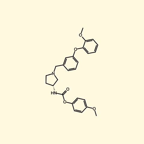 COc1ccc(OC(=O)N[C@@H]2CCN(Cc3cccc(Oc4ccccc4OC)c3)C2)cc1